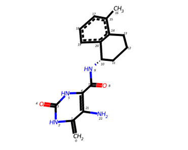 C=C1NC(=O)NC(C(=O)N[C@H]2CCCc3c(C)cccc32)=C1N